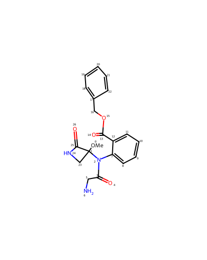 COC1(N(C(=O)CN)c2ccccc2C(=O)OCc2ccccc2)CNC1=O